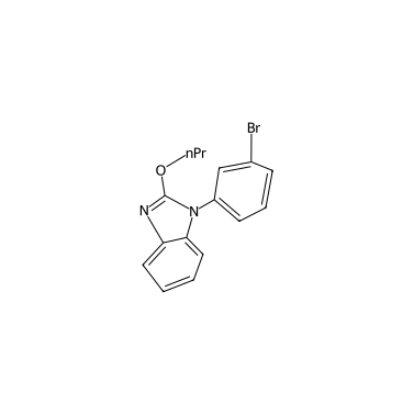 CCCOc1nc2ccccc2n1-c1cccc(Br)c1